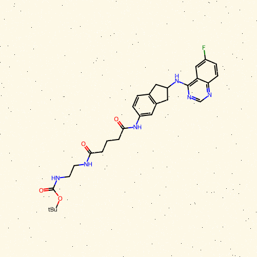 CC(C)(C)OC(=O)NCCNC(=O)CCCC(=O)Nc1ccc2c(c1)CC(Nc1ncnc3ccc(F)cc13)C2